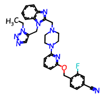 CCn1nncc1Cn1c(CN2CCN(c3cccc(OCc4ccc(C#N)cc4F)n3)CC2)nc2ccccc21